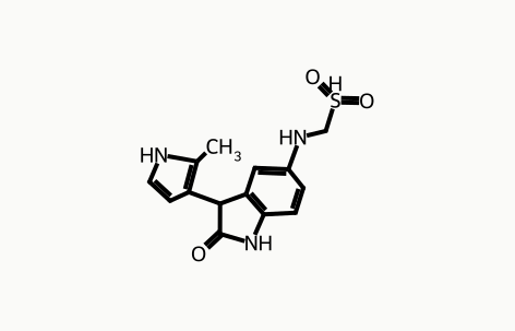 Cc1[nH]ccc1C1C(=O)Nc2ccc(NC[SH](=O)=O)cc21